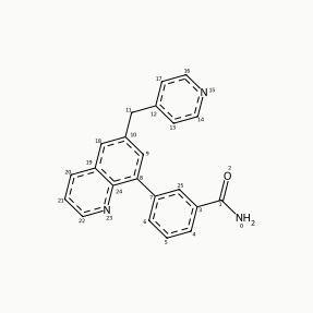 NC(=O)c1cccc(-c2cc(Cc3ccncc3)cc3cccnc23)c1